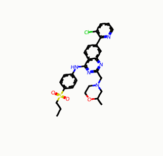 CCCS(=O)(=O)c1ccc(Nc2nc(CN3CCOC(C)C3)nc3cc(-c4ncccc4Cl)ccc23)cc1